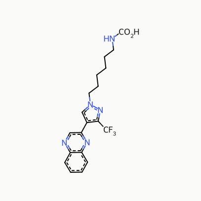 O=C(O)NCCCCCCn1cc(-c2cnc3ccccc3n2)c(C(F)(F)F)n1